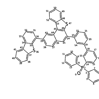 O=P(c1ccccc1)(c1ccccc1)c1cccc(-c2cccc(-c3cc4ccc(-c5cccc6c5sc5ccccc56)cc4c4c3sc3ccccc34)c2)c1